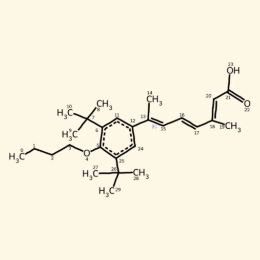 CCCCOc1c(C(C)(C)C)cc(/C(C)=C/C=CC(C)=CC(=O)O)cc1C(C)(C)C